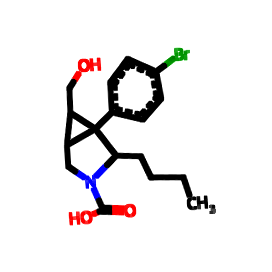 CCCCC1N(C(=O)O)CC2C(CO)C21c1ccc(Br)cc1